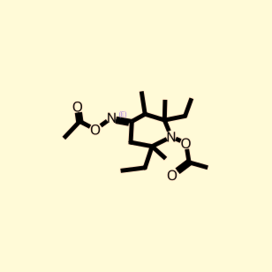 CCC1(C)C/C(=N\OC(C)=O)C(C)C(C)(CC)N1OC(C)=O